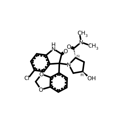 CN(C)C(=O)[C@@H]1C[C@@H](O)CN1C1(c2cccc3c2OCO3)C(=O)Nc2ccc(Cl)cc21